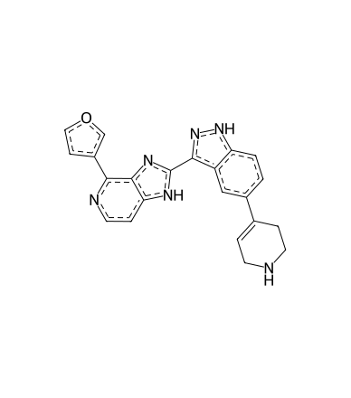 C1=C(c2ccc3[nH]nc(-c4nc5c(-c6ccoc6)nccc5[nH]4)c3c2)CCNC1